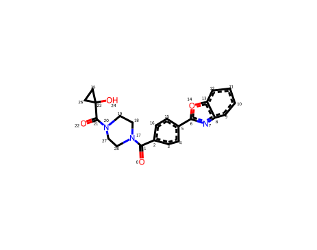 O=C(c1ccc(-c2nc3ccccc3o2)cc1)N1CCN(C(=O)C2(O)CC2)CC1